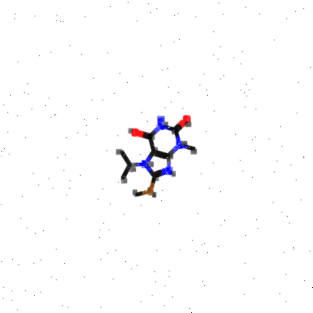 CSc1nc2c(c(=O)[nH]c(=O)n2C)n1C(C)C